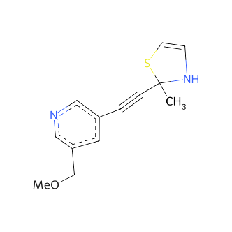 COCc1cncc(C#CC2(C)NC=CS2)c1